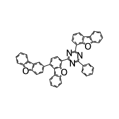 c1ccc(-c2nc(-c3cccc4c3oc3ccccc34)nc(-c3ccc(-c4ccc5oc6ccccc6c5c4)c4c3oc3ccccc34)n2)cc1